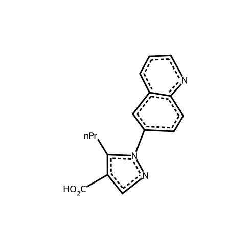 CCCc1c(C(=O)O)cnn1-c1ccc2ncccc2c1